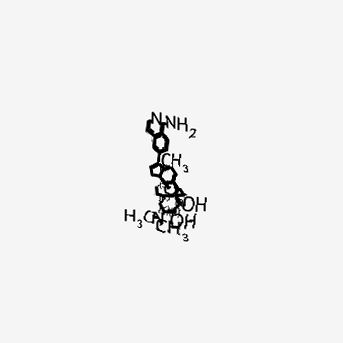 CN(C)[C@H]1C[C@@]23CC[C@@]4(O2)C(=CC[C@]2(C)C(c5ccc6c(N)nccc6c5)=CCC24)C2CC23[C@@H](O)[C@@H]1O